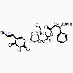 CON(c1ccccc1)[C@@H](C)C(=O)OP(=O)(O)O[C@H]1C[C@H](n2cc(/C=C/Br)c(=O)[nH]c2=O)O[C@@H]1CCl